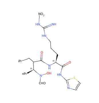 CCC[C@@H](C(CC(C)C)C(=O)N[C@@H](CCCNC(=N)N[N+](=O)[O-])C(=O)Nc1nccs1)N(O)C=O